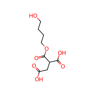 O=C(O)CC(C(=O)O)C(=O)OCCCCO